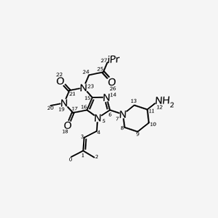 CC(C)=CCn1c(N2CCCC(N)C2)nc2c1c(=O)n(C)c(=O)n2CC(=O)C(C)C